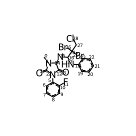 CN1C(=O)N(c2ccccc2F)C(=O)C1=NC(Nc1ccccc1)C(Br)(Br)CCl